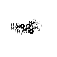 CN(C)c1cccc(N(C)C(=O)N2CCc3nc(C(N)=O)sc3C2c2ccccc2N)c1